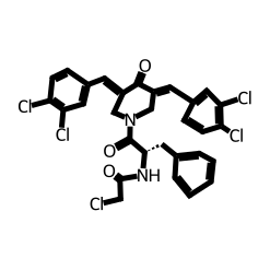 O=C(CCl)N[C@@H](Cc1ccccc1)C(=O)N1C/C(=C\c2ccc(Cl)c(Cl)c2)C(=O)/C(=C/c2ccc(Cl)c(Cl)c2)C1